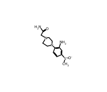 C[S+]([O-])c1ccc(N2CCN(CC(N)=O)CC2)c(N)c1